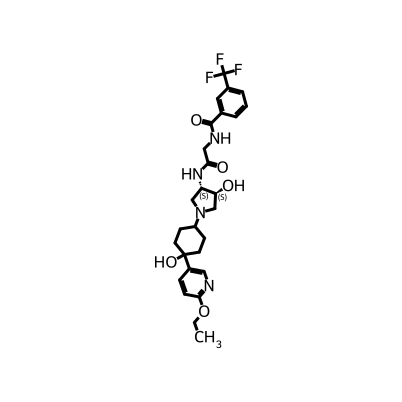 CCOc1ccc(C2(O)CCC(N3C[C@H](NC(=O)CNC(=O)c4cccc(C(F)(F)F)c4)[C@@H](O)C3)CC2)cn1